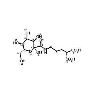 O=C(O)C(CCCNC(=O)[C@@]1(O)O[C@H](CO)[C@@H](O)[C@H](O)[C@H]1O)C(=O)O